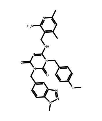 COc1ccc(Cn2c(NCc3c(C)cc(C)nc3N)nc(=O)n(Cc3ccc4c(c3)nnn4C)c2=O)cc1